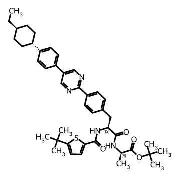 CC[C@H]1CC[C@H](c2ccc(-c3cnc(-c4ccc(C[C@H](NC(=O)c5ccc(C(C)(C)C)s5)C(=O)N[C@H](C)C(=O)OC(C)(C)C)cc4)nc3)cc2)CC1